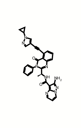 C[C@H](NC(=O)c1c(N)nn2cccnc12)c1nc2cccc(C#Cc3cnn(C4CC4)c3)c2c(=O)n1-c1ccccc1